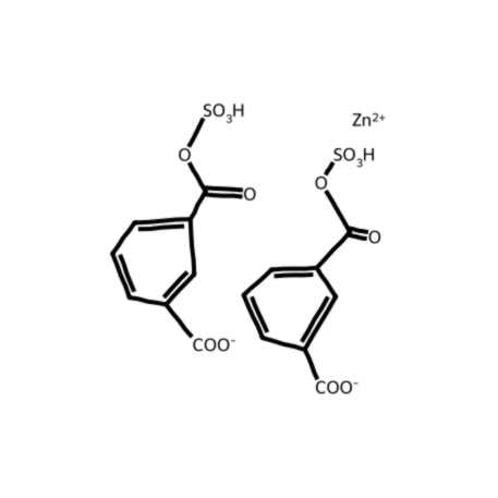 O=C([O-])c1cccc(C(=O)OS(=O)(=O)O)c1.O=C([O-])c1cccc(C(=O)OS(=O)(=O)O)c1.[Zn+2]